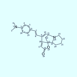 CN(C)c1ccc(C=CC2=CC3CC4(OC(=O)C=C24)C2CCCCN32)cc1